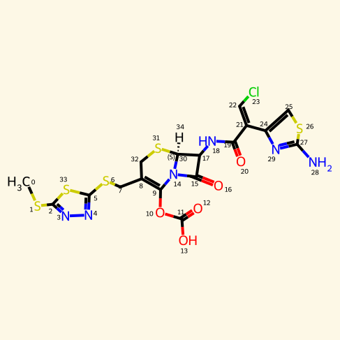 CSc1nnc(SCC2=C(OC(=O)O)N3C(=O)C(NC(=O)C(=CCl)c4csc(N)n4)[C@@H]3SC2)s1